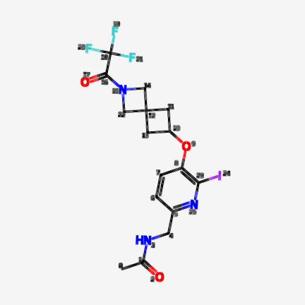 CC(=O)NCc1ccc(OC2CC3(C2)CN(C(=O)C(F)(F)F)C3)c(I)n1